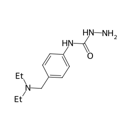 CCN(CC)Cc1ccc(NC(=O)NN)cc1